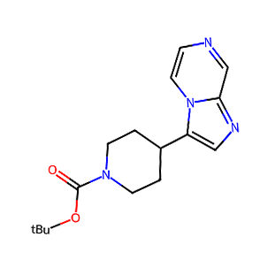 CC(C)(C)OC(=O)N1CCC(c2cnc3cnccn23)CC1